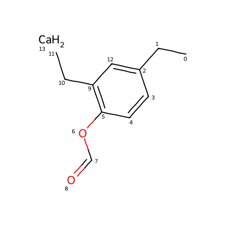 CCc1ccc(OC=O)c(CC)c1.[CaH2]